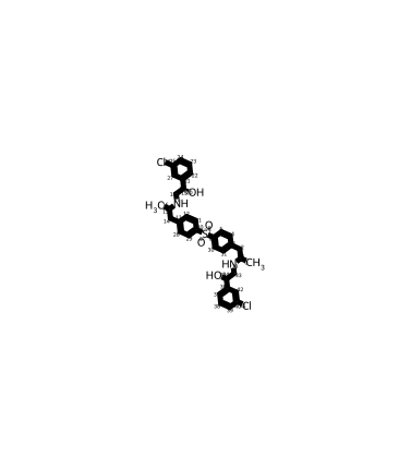 CC(Cc1ccc(S(=O)(=O)c2ccc(CC(C)NC[C@H](O)c3cccc(Cl)c3)cc2)cc1)NCC(O)c1cccc(Cl)c1